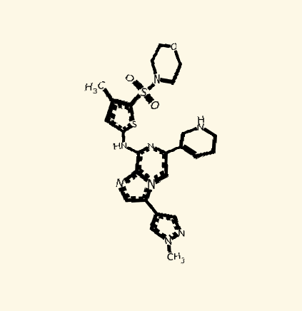 Cc1cc(Nc2nc(C3=CCCNC3)cn3c(-c4cnn(C)c4)cnc23)sc1S(=O)(=O)N1CCOCC1